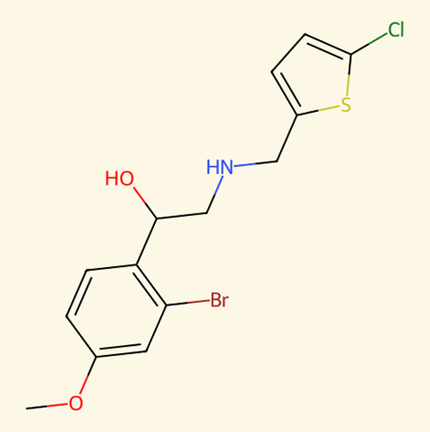 COc1ccc(C(O)CNCc2ccc(Cl)s2)c(Br)c1